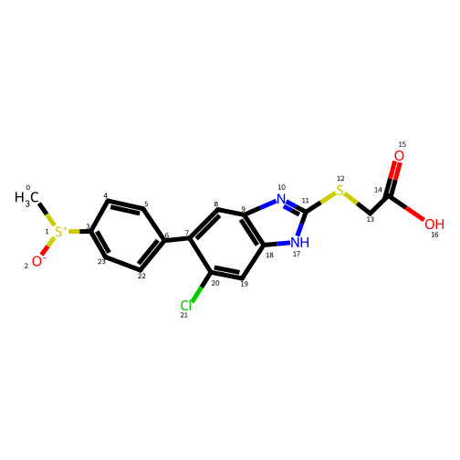 C[S+]([O-])c1ccc(-c2cc3nc(SCC(=O)O)[nH]c3cc2Cl)cc1